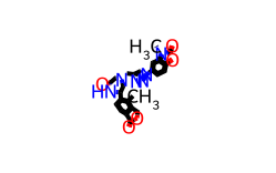 Cc1c(C2CN(Cc3cn(-c4ccc5oc(=O)n(C)c5c4)nn3)CC(=O)N2)ccc2c1COC2=O